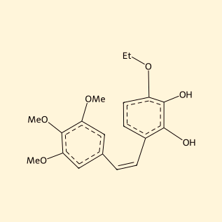 CCOc1ccc(/C=C\c2cc(OC)c(OC)c(OC)c2)c(O)c1O